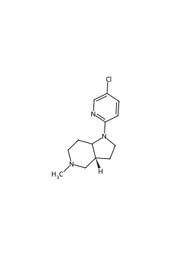 CN1CCC2[C@H](CCN2c2ccc(Cl)cn2)C1